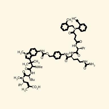 C#Cc1ccccc1N(Cc1ccccc1C)C(=O)CCC(=O)N[C@H](C(=O)N[C@@H](CCCNC(N)=O)C(=O)Nc1ccc(COC(=O)Nc2ccc3c(c2)c(C(C)(C)C(NC)C(=O)N[C@H](C(=O)N(C)[C@H](/C=C(\C)C(=O)O)C(C)C)C(C)(C)C)cn3C)cc1)C(C)C